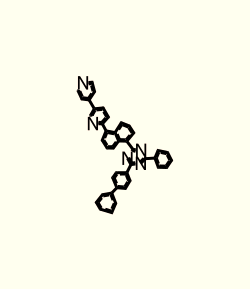 c1ccc(-c2ccc(-c3nc(-c4ccccc4)nc(-c4cccc5c(-c6ccc(-c7ccncc7)cn6)cccc45)n3)cc2)cc1